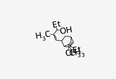 CCC(O)C(C)=CC1CC2C=C(C)C1C(C)(CC)C2